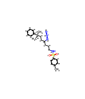 Cc1ccc(S(=O)(=O)NCCCC(CC[Si](C)(C)c2ccccc2)N=[N+]=[N-])cc1